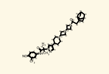 CC(C)(C(=O)Nc1ccc(C#N)c(C(F)(F)F)c1)n1cc(C2CCN(C3CN(C4CN(C(=O)CC56CC7CC(CC5C7)C6)C4)C3)CC2)cn1